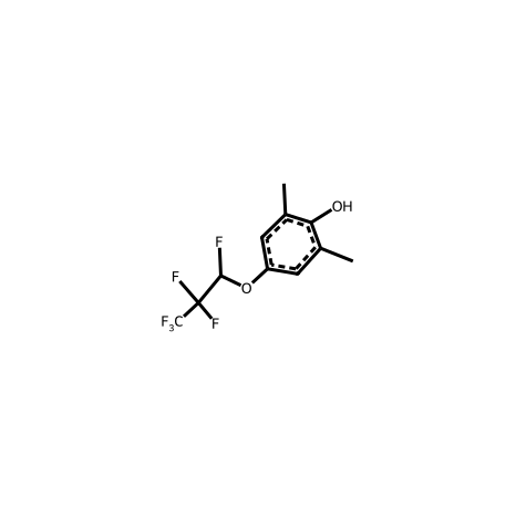 Cc1cc(OC(F)C(F)(F)C(F)(F)F)cc(C)c1O